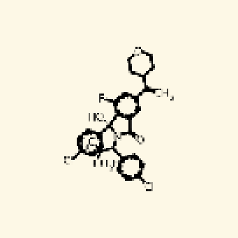 C=C(c1cc(F)c2c(c1)C(=O)N(C(c1ccc(Cl)cc1)C(C)C(=O)O)[C@@]2(O)c1ccc(Cl)cc1)C1CCOCC1